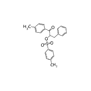 Cc1ccc(C(=O)C(Cc2ccccc2)OS(=O)(=O)c2ccc(C)cc2)cc1